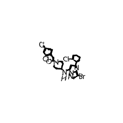 O=C(Cc1ccc(Cl)cc1Cl)N1CCC(Nc2cc(-c3ccccc3Cl)nc3c(Br)cnn23)CC1